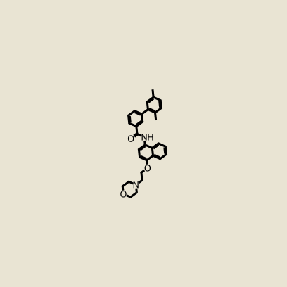 Cc1ccc(C)c(-c2cccc(C(=O)Nc3ccc(OCCN4CCOCC4)c4ccccc34)c2)c1